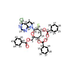 O=C(OC[C@H]1O[C@@H](n2ccc3c(Cl)ncnc32)[C@@H](F)[C@H](OC(=O)c2ccccc2)C[C@@H]1OC(=O)c1ccccc1)c1ccccc1